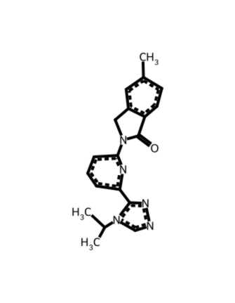 Cc1ccc2c(c1)CN(c1cccc(-c3nncn3C(C)C)n1)C2=O